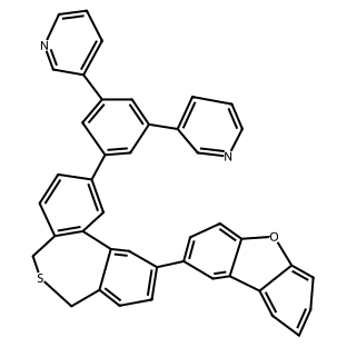 c1cncc(-c2cc(-c3cccnc3)cc(-c3ccc4c(c3)-c3cc(-c5ccc6oc7ccccc7c6c5)ccc3CSC4)c2)c1